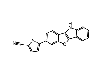 N#Cc1ccc(-c2ccc3c(c2)oc2c4ccccc4[nH]c32)s1